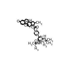 CC1C[C@H]2[C@@H]3CCC4=CC(=O)C=C[C@]4(C)C3=CC[C@]2(C)[C@H]1C(=O)CN1CCN(c2cc(NC(C)(C)C)nc(NC(C)(C)C)n2)CC1